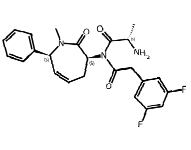 C[C@H](N)C(=O)N(C(=O)Cc1cc(F)cc(F)c1)[C@H]1CC=C[C@@H](c2ccccc2)N(C)C1=O